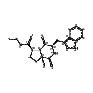 CCOC(=O)[C@@H]1CC[C@H]2C(=O)N[C@H](Cc3c[nH]c4ccccc34)C(=O)N21